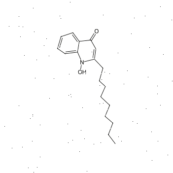 CCCCCCCCCc1cc(=O)c2ccccc2n1O